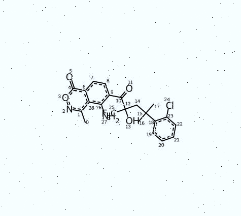 Cc1noc(=O)c2ccc(C(=O)C(O)(CC(C)(C)c3ccccc3Cl)C(F)(F)F)c(N)c12